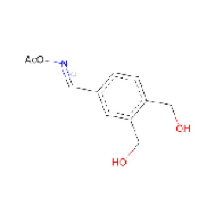 CC(=O)O/N=C/c1ccc(CO)c(CO)c1